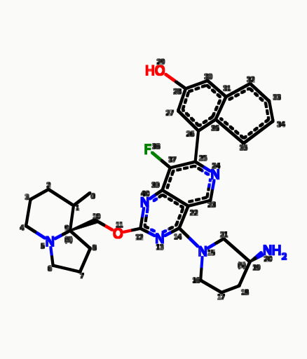 CC1CCCN2CCC[C@@]12COc1nc(N2CCC[C@H](N)C2)c2cnc(-c3cc(O)cc4ccccc34)c(F)c2n1